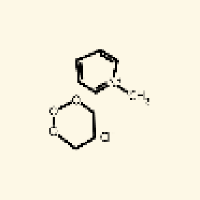 C1COOOC1.C[n+]1ccccc1.[Cl-]